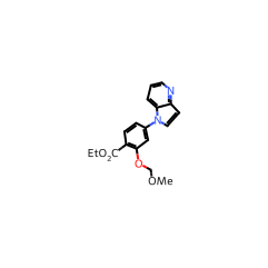 CCOC(=O)c1ccc(-n2ccc3ncccc32)cc1OCOC